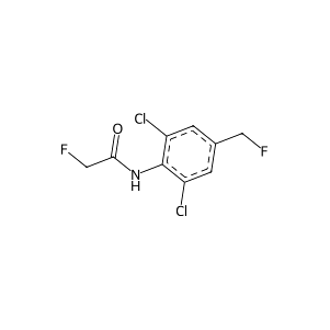 O=C(CF)Nc1c(Cl)cc(CF)cc1Cl